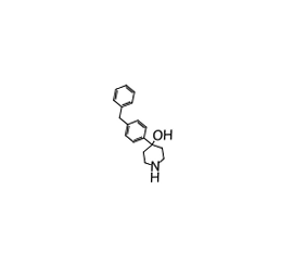 OC1(c2ccc(Cc3ccccc3)cc2)CCNCC1